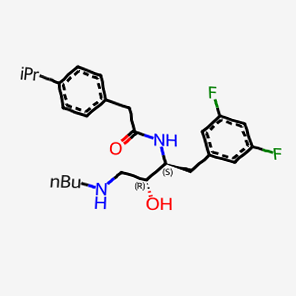 CCCCNC[C@@H](O)[C@H](Cc1cc(F)cc(F)c1)NC(=O)Cc1ccc(C(C)C)cc1